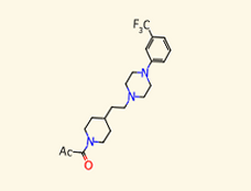 CC(=O)C(=O)N1CCC(CCN2CCN(c3cccc(C(F)(F)F)c3)CC2)CC1